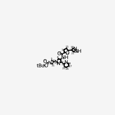 CC(C)(C)OC(=O)N1CC(n2cc(NC(=O)c3ccc(-c4cn[nH]c4)o3)c(-c3ccccn3)n2)C1